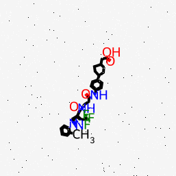 Cc1ccccc1-n1cc(C(=O)NCCC(=O)Nc2ccc(C3CCC(CC(=O)O)CC3)cc2)c(C(F)(F)F)n1